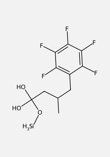 CC(Cc1c(F)c(F)c(F)c(F)c1F)CC(O)(O)O[SiH3]